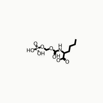 CCCCC(NC(=O)OCOP(=O)(O)O)C(=O)O